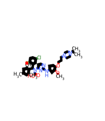 COc1cc(Nc2nccc(N(C(=O)O)C(c3cc(Cl)ccc3F)c3c(C)cc(C)cc3C)n2)ccc1OCCCN1CCN(C(C)C)CC1